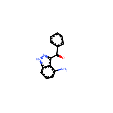 Nc1cccc2[nH]nc(C(=O)c3ccccc3)c12